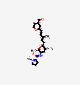 CC(=O)N1CCC[C@H]1C(=O)N[C@@H]1C[C@H](C)[C@H](C/C=C(C)/C=C/C2CC(CO)CCO2)O[C@@H]1C